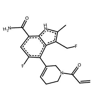 C=CC(=O)N1CCC=C(c2c(F)cc(C(N)=O)c3[nH]c(C)c(CF)c23)C1